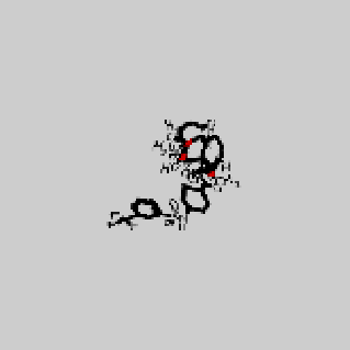 C=C1C(=O)[C@]23[C@H](OC(=O)C4CCC(NS(=O)(=O)c5cccc(C(F)(F)F)c5)CC4)[C@H]1CC[C@H]2[C@@]12CO[C@@]3(O)[C@@H](O)[C@@H]1C(C)(C)CCC2=O